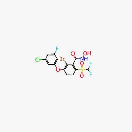 O=C(NO)c1c(S(=O)(=O)C(F)F)ccc(Oc2cc(F)cc(Cl)c2)c1Br